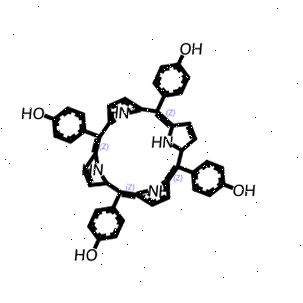 Oc1ccc(/C2=C3\C=CC(N3)/C(c3ccc(O)cc3)=c3/cc/c([nH]3)=C(\c3ccc(O)cc3)C3C=C/C(=C(\c4ccc(O)cc4)c4ccc2[nH]4)N3)cc1